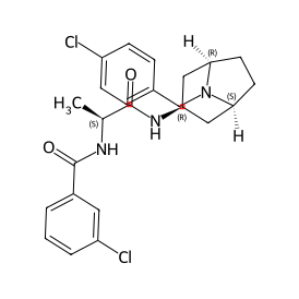 C[C@H](NC(=O)c1cccc(Cl)c1)C(=O)N[C@H]1C[C@H]2CC[C@@H](C1)N2Cc1ccc(Cl)cc1